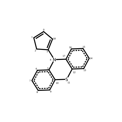 C1=CCC(N2c3ccccc3Sc3ccccc32)=C1